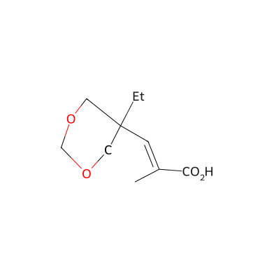 CCC1(C=C(C)C(=O)O)COCOC1